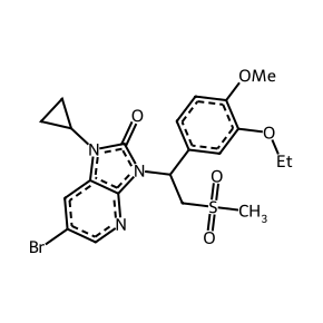 CCOc1cc(C(CS(C)(=O)=O)n2c(=O)n(C3CC3)c3cc(Br)cnc32)ccc1OC